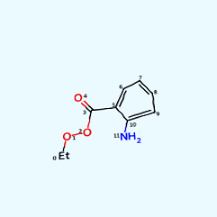 CCOOC(=O)c1ccccc1N